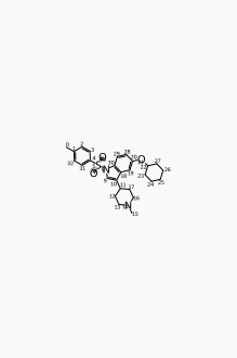 Cc1ccc(S(=O)(=O)n2cc(C3CCN(C)CC3)c3cc(OC4CCCCC4)ccc32)cc1